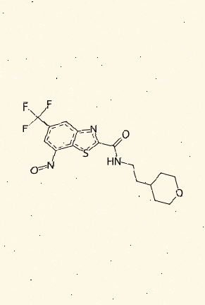 O=Nc1cc(C(F)(F)F)cc2nc(C(=O)NCCC3CCOCC3)sc12